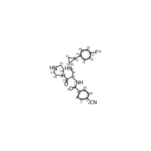 N#Cc1ccc(C(=O)NC(CN[C@@H]2C[C@H]2c2ccc(F)cc2)C(=O)N2CCNCC2)cc1